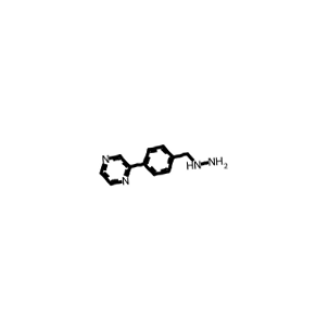 NNCc1ccc(-c2cnccn2)cc1